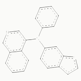 c1ccc(N(c2ccc3ccoc3c2)c2cncc3ccccc23)cc1